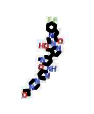 Cn1cc(-c2ccnc(-n3ccn4c5c(cc4c3=O)CC(F)(F)CC5)c2CO)cc(Nc2ccc(N3CCN(C4COC4)CC3)cn2)c1=O